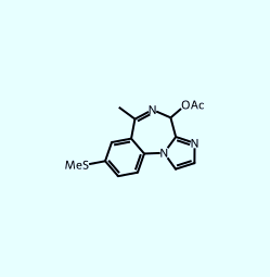 CSc1ccc2c(c1)C(C)=NC(OC(C)=O)c1nccn1-2